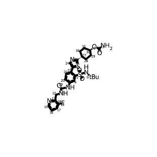 CC(C)(C)NS(=O)(=O)c1cc(NC(=O)NCc2ncccc2F)ccc1-c1cnc([C@H]2CC[C@H](OC(N)=O)CC2)s1